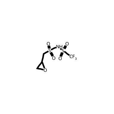 O=S(=O)(CC1CO1)NS(=O)(=O)C(F)(F)F